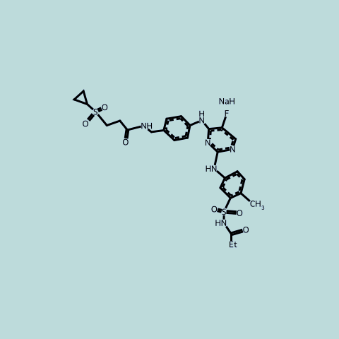 CCC(=O)NS(=O)(=O)c1cc(Nc2ncc(F)c(Nc3ccc(CNC(=O)CCS(=O)(=O)C4CC4)cc3)n2)ccc1C.[NaH]